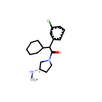 O=C(O)N[C@H]1CCN(C(=O)C(c2cccc(Cl)c2)C2CCCCC2)C1